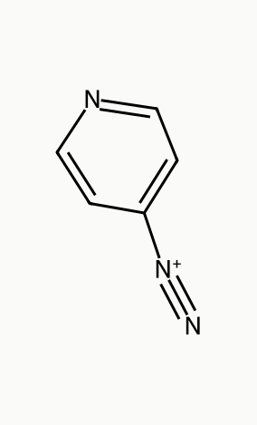 N#[N+]c1ccncc1